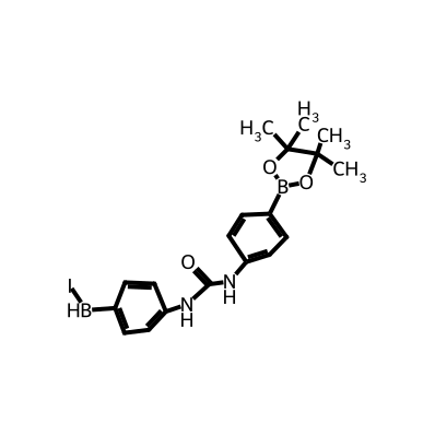 CC1(C)OB(c2ccc(NC(=O)Nc3ccc(BI)cc3)cc2)OC1(C)C